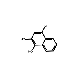 [NH]c1cc(O)c(O)c2ccccc12